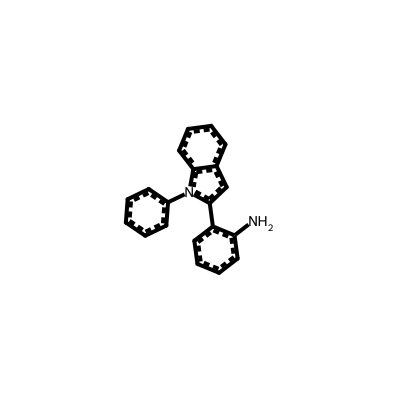 Nc1ccccc1-c1cc2ccccc2n1-c1ccccc1